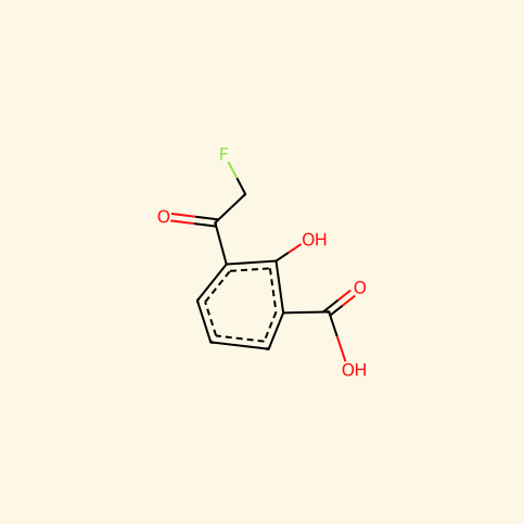 O=C(O)c1cccc(C(=O)CF)c1O